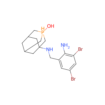 Nc1c(Br)cc(Br)cc1CNC12CC3CC(C1)C[PH](O)(C3)C2